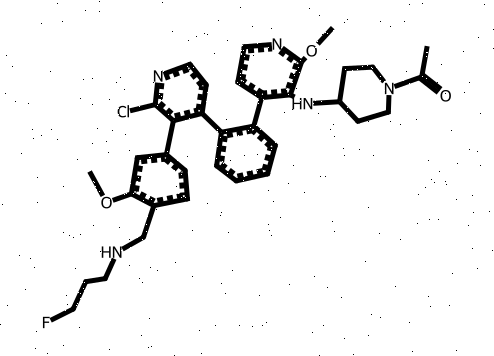 COc1cc(-c2c(-c3ccccc3-c3ccnc(OC)c3NC3CCN(C(C)=O)CC3)ccnc2Cl)ccc1CNCCCF